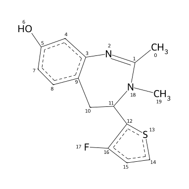 CC1=Nc2cc(O)ccc2CC(c2sccc2F)N1C